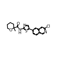 CC1(C(=O)Nc2ncc(-c3ccc4cnc(Cl)cc4c3)s2)CCCCO1